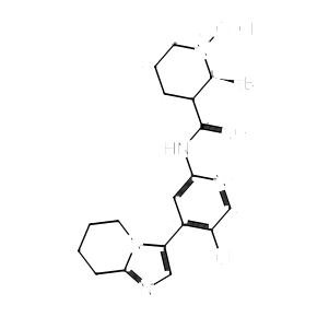 CC(C)(C)[C@H]1C(C(=O)Nc2cc(-c3cnc4n3CCCC4)c(Cl)cn2)CCCN1C(=O)O